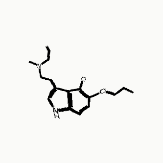 CCCOc1ccc2[nH]cc(CCN(C)CC)c2c1Cl